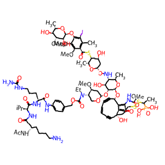 CCN(C(=O)OCc1ccc(NC(=O)[C@H](CCCNC(N)=O)NC(=O)[C@@H](NC(=O)[C@H](CCCCN)NC(C)=O)C(C)C)cc1)[C@H]1CO[C@@H](O[C@H]2[C@H](O[C@H]3C#CC=CC#C[C@]4(O)CC(=O)C(NC(=O)OC)=C3/C4=C\CSSC(C)P(=O)(O)O)O[C@H](C)[C@@H](NO[C@H]3C[C@H](O)[C@H](SC(=O)c4c(C)c(I)c(O[C@@H]5O[C@@H](C)[C@H](O)[C@@H](OC)[C@H]5O)c(OC)c4OC)[C@@H](C)O3)[C@@H]2O)C[C@@H]1OC